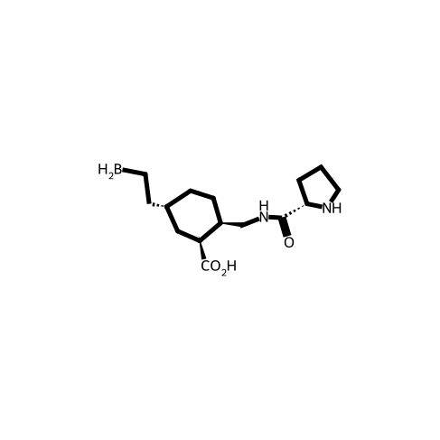 BCC[C@@H]1CC[C@@H](CNC(=O)[C@@H]2CCCN2)[C@@H](C(=O)O)C1